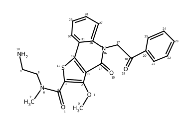 COc1c(C(=O)N(C)CCN)sc2c1c(=O)n(CC(=O)c1ccccc1)c1ccccc21